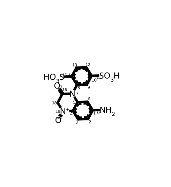 Nc1ccc2c(c1)N(c1cc(S(=O)(=O)O)ccc1S(=O)(=O)O)C(=O)C[N+]2=O